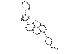 CC(C)(C)c1ccc(-c2ccc3ccc4c(-c5ncc(-c6ccccc6)s5)ccc5ccc2c3c54)cc1